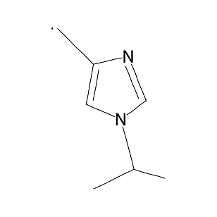 [CH2]c1cn(C(C)C)cn1